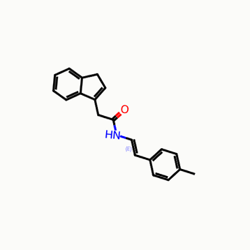 Cc1ccc(/C=C/NC(=O)CC2=CCc3ccccc32)cc1